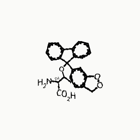 CC(OC1(c2ccc3c(c2)OOC3)c2ccccc2-c2ccccc21)[C@H](N)C(=O)O